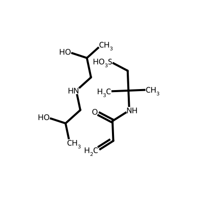 C=CC(=O)NC(C)(C)CS(=O)(=O)O.CC(O)CNCC(C)O